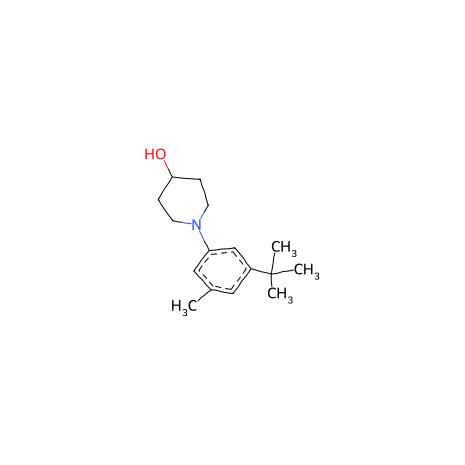 Cc1cc(N2CCC(O)CC2)cc(C(C)(C)C)c1